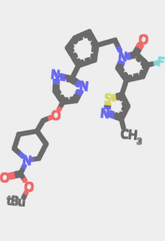 Cc1cc(-c2cc(F)c(=O)n(Cc3cccc(-c4ncc(OCC5CCN(C(=O)OC(C)(C)C)CC5)cn4)c3)c2)sn1